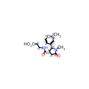 C=N/C=C(\C=C/C)[C@@H]1[C@@H](C(=O)NCCC(=O)O)CC(=O)N1C